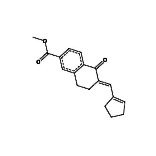 COC(=O)c1ccc2c(c1)CCC(=CC1=CCCC1)C2=O